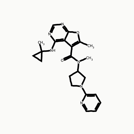 Cc1oc2ncnc(NC3(C)CC3)c2c1C(=O)N(C)C1CCN(c2ccccn2)C1